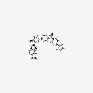 Cc1ccc2[nH]c(-c3cc(N4CCC(C(=O)N5CCC(N6CCCC6)CC5)CC4)ccc3Cl)nc2c1